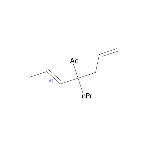 C=CCC(/C=C/C)(CCC)C(C)=O